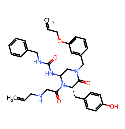 C=CCNCC(=O)N1[C@@H](NC(=O)NCc2ccccc2)CN(Cc2cccc(OCC=C)c2)C(=O)[C@@H]1Cc1ccc(O)cc1